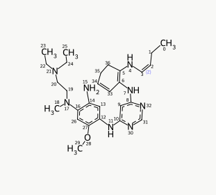 CC/C=C\NC1=C(Nc2cc(Nc3cc(N)c(N(C)CCN(CC)CC)cc3OC)ncn2)C=CCC1